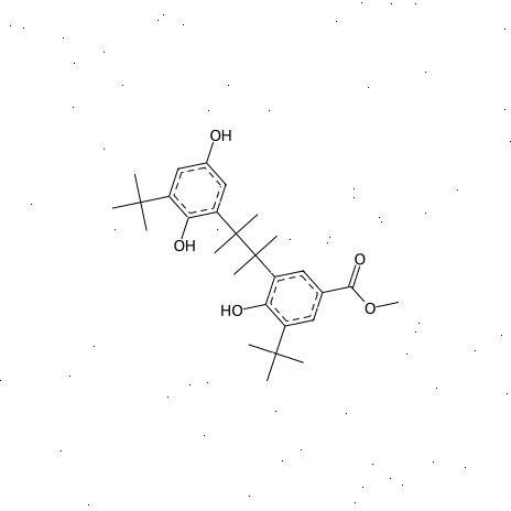 COC(=O)c1cc(C(C)(C)C)c(O)c(C(C)(C)C(C)(C)c2cc(O)cc(C(C)(C)C)c2O)c1